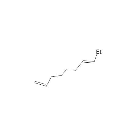 C=CCCCCC=CCC